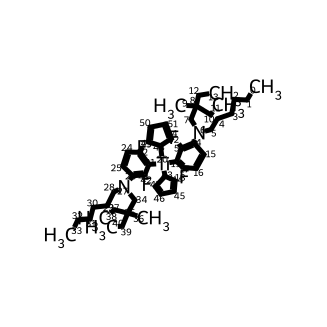 CCCCCCN(CC(C)(CC)CC)c1ccc(F)[c]([Ti]([c]2c(F)ccc(N(CCCCCC)CC(C)(CC)CC)c2F)([CH]2C=CC=C2)[CH]2C=CC=C2)c1F